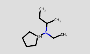 CCC(C)N(CC)[SiH]1CCCC1